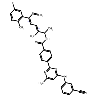 C=N/C(=C\C=C(/C)C(C)NC(=O)c1ccc(-c2nc(C)cc(Nc3cccc(C#N)c3)n2)cn1)c1cc(F)cnc1C